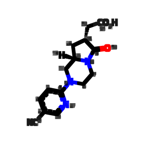 N#Cc1ccc(N2CCN3C(=O)[C@@H](CC(=O)O)C[C@H]3C2)nc1